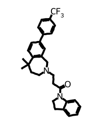 CC1(C)CCN(CCC(=O)N2CCc3ccccc32)Cc2cc(-c3ccc(C(F)(F)F)cc3)ccc21